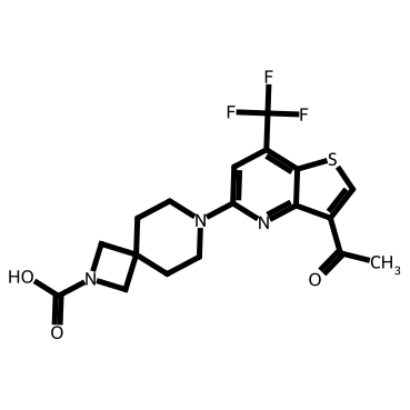 CC(=O)c1csc2c(C(F)(F)F)cc(N3CCC4(CC3)CN(C(=O)O)C4)nc12